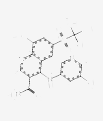 Cc1cc(S(=O)(=O)C(C)(C)C)cc2c(Nc3cncc(Cl)c3)c(C(N)=O)cnc12